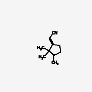 CP1CCC(=CC#N)C1(C)C